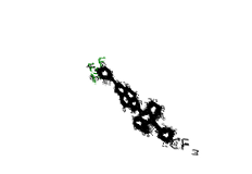 Fc1cc(-c2cc3ccc4cc(-c5c6ccccc6c(-c6ccc(C(F)(F)F)cc6)c6ccccc56)cc5ccc(c2)c3c45)cc(F)c1F